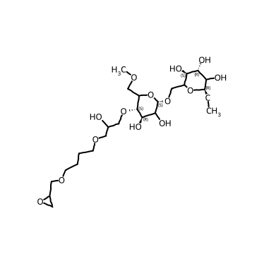 CC[C@H]1OC(CO[C@H]2OC(COC)[C@@H](OCC(O)COCCCCOCC3CO3)[C@H](O)C2O)[C@@H](O)[C@H](O)C1O